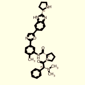 Cc1ccc(-c2ncc(-c3ccc4nc([C@@H]5CCCN5)[nH]c4c3)o2)cc1NC(=O)[C@@H]1CCCN1C(=O)[C@@H](c1ccccc1)N(C)C